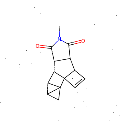 CN1C(=O)C2C(C1=O)C1C3C4CC43C13C=CC23